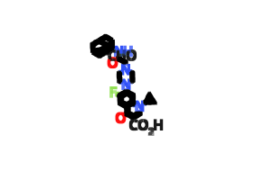 O=CC12CC3CC(CC(C3)C1NC(=O)CN1CCN(c3cc4c(cc3F)c(=O)c(C(=O)O)cn4C3CC3)CC1)C2